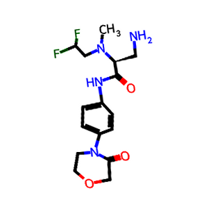 CN(CC(F)F)[C@@H](CN)C(=O)Nc1ccc(N2CCOCC2=O)cc1